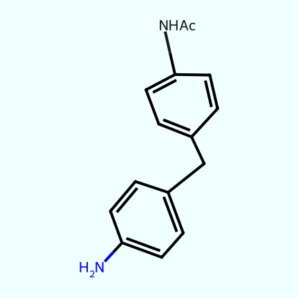 CC(=O)Nc1ccc(Cc2ccc(N)cc2)cc1